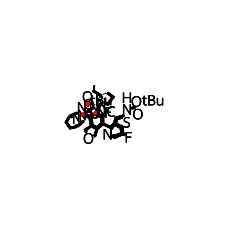 C[C@H](Oc1nc(N2C3CCC2CN(C(=O)OC(C)(C)C)C3)c2c3c(c(-c4ncc(F)c5sc(NC(=O)OC(C)(C)C)c(C#N)c45)c(F)c2n1)COC3)[C@@H]1CCCN1C